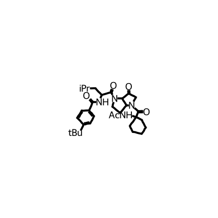 CC(=O)NC1(C(=O)N2CC(=O)C3C2CCN3C(=O)C(CC(C)C)NC(=O)c2ccc(C(C)(C)C)cc2)CCCCC1